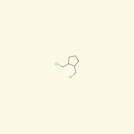 ClCC1CCCC1CCl